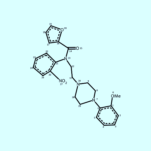 COc1ccccc1N1CCN(CCN(C(=O)c2ccco2)c2ccccc2[N+](=O)[O-])CC1